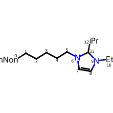 CCCCCCCCCCCCCCN1C=CN(CC)C1C(C)C